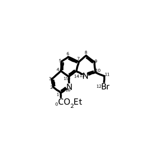 CCOC(=O)c1ccc2ccc3ccc(CBr)nc3c2n1